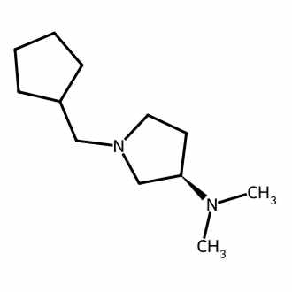 CN(C)[C@@H]1CCN(CC2CCCC2)C1